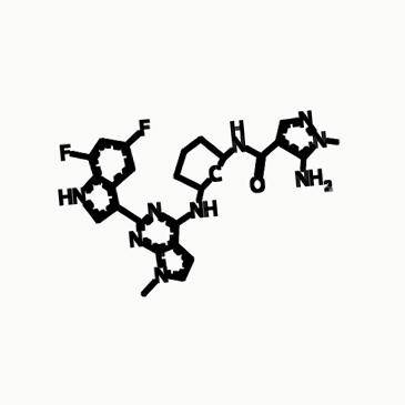 Cn1ncc(C(=O)NC2CCCC(Nc3nc(-c4c[nH]c5c(F)cc(F)cc45)nc4c3ccn4C)C2)c1N